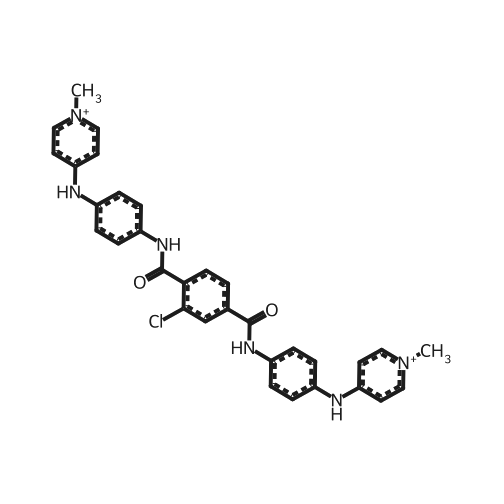 C[n+]1ccc(Nc2ccc(NC(=O)c3ccc(C(=O)Nc4ccc(Nc5cc[n+](C)cc5)cc4)c(Cl)c3)cc2)cc1